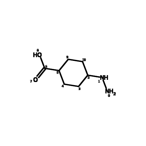 NNC1CCC(C(=O)O)CC1